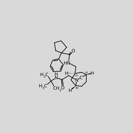 CC(C)(C)NC(=O)CN1C[C@H]2CC[C@@H]1C[C@@H](CNC(=O)C1(c3ccccc3)CCCC1)C2